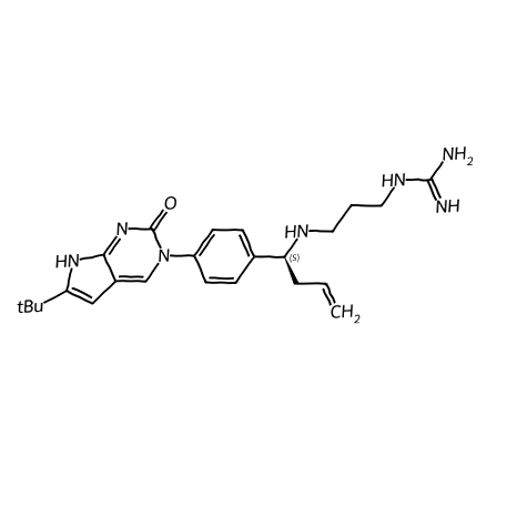 C=CC[C@H](NCCCNC(=N)N)c1ccc(-n2cc3cc(C(C)(C)C)[nH]c3nc2=O)cc1